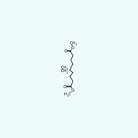 C=C.COC(=O)CCCCCCCC(=O)OC